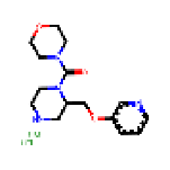 Cl.Cl.O=C(N1CCOCC1)N1CCNCC1COc1cccnc1